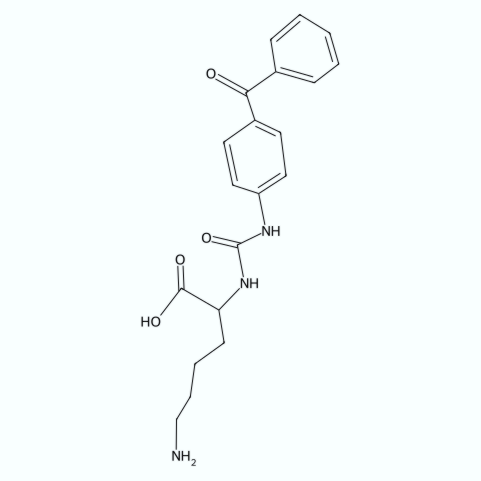 NCCCCC(NC(=O)Nc1ccc(C(=O)c2ccccc2)cc1)C(=O)O